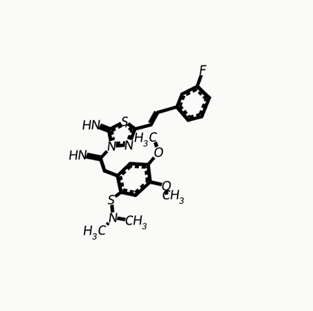 COc1cc(CC(=N)n2nc(/C=C/c3cccc(F)c3)sc2=N)c(SN(C)C)cc1OC